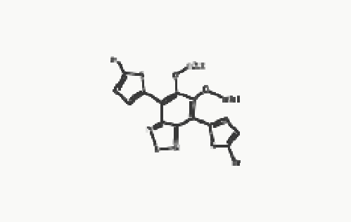 CCCCCCCCOc1c(OCCCCCCCC)c(-c2ccc(Br)s2)c2nsnc2c1-c1ccc(Br)s1